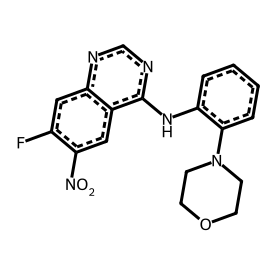 O=[N+]([O-])c1cc2c(Nc3ccccc3N3CCOCC3)ncnc2cc1F